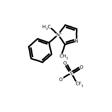 CC1=NC=C[N+]1(C)c1ccccc1.O=S(=O)([O-])C(F)(F)F